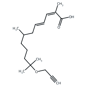 C#CCOC(C)(C)CCCC(C)CC=CC=C(C)C(=O)O